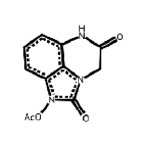 CC(=O)On1c(=O)n2c3c(cccc31)NC(=O)C2